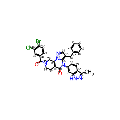 Cc1n[nH]c2cc(-n3c(=O)c4c(n5ncc(Cc6ccccc6)c35)CN(C(=O)c3ccc(Br)c(Cl)c3)CC4)ccc12